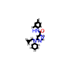 Cc1ccc(NC(=O)c2cc(N(CC3CC3)C3CCCCC3)ncn2)c(C)c1